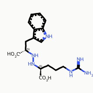 N=C(N)NCCC[C@H](NN[C@@H](Cc1c[nH]c2ccccc12)C(=O)O)C(=O)O